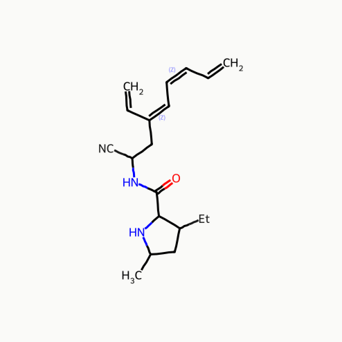 C=C/C=C\C=C(/C=C)CC(C#N)NC(=O)C1NC(C)CC1CC